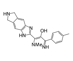 CN/C(=C(/O)C(=N)c1ccc(C)cc1)c1nc2cc3c(cc2[nH]1)CNC3